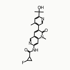 Cc1cc(C(C)(C)O)ncc1-c1cc2cnc(NC(=O)C3CC3F)cc2n(C)c1=O